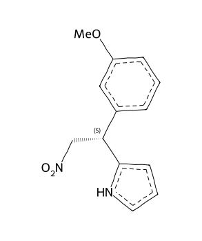 COc1cccc([C@@H](C[N+](=O)[O-])c2ccc[nH]2)c1